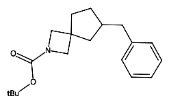 CC(C)(C)OC(=O)N1CC2(CCC(Cc3ccccc3)C2)C1